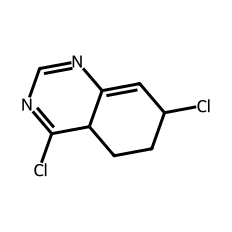 ClC1=NC=NC2=CC(Cl)CCC21